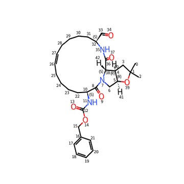 CC1(C)C[C@H]2[C@H](CN3C(=O)[C@@H](NC(=O)OCc4ccccc4)CCCCC=CCCCC[C@@H](C=O)NC(=O)[C@H]23)O1